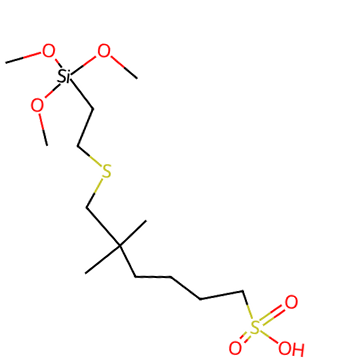 CO[Si](CCSCC(C)(C)CCCCS(=O)(=O)O)(OC)OC